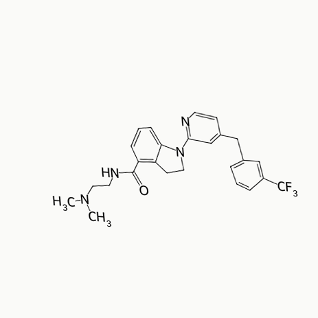 CN(C)CCNC(=O)c1cccc2c1CCN2c1cc(Cc2cccc(C(F)(F)F)c2)ccn1